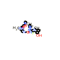 CCc1cccc2cc(O)cc(-c3ncc4c(N5CC6CCC(C5)N6)nc(OCCN5CCC(CN(C)c6cc(CC(=O)N7CCCC7C)on6)CC5)nc4c3F)c12